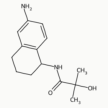 CC(C)(O)C(=O)NC1CCCc2cc(N)ccc21